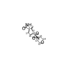 NC(=O)c1ccc(S(=O)(=O)N2CCOCC2)cc1